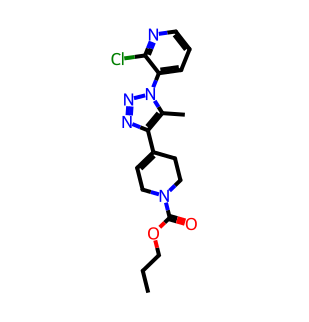 CCCOC(=O)N1CC=C(c2nnn(-c3cccnc3Cl)c2C)CC1